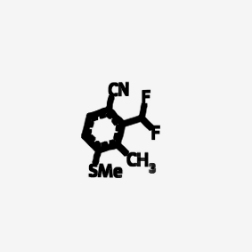 CSc1ccc(C#N)c(C(F)F)c1C